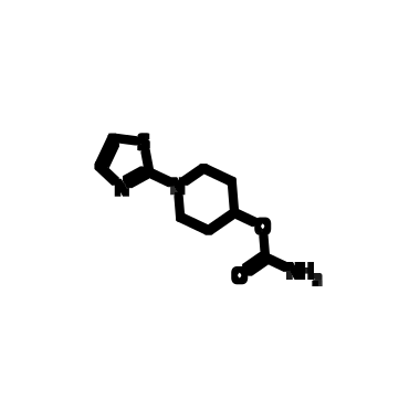 NC(=O)OC1CCN(c2nccs2)CC1